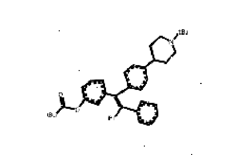 CC(C)/C(=C(/c1ccc(C2CCN(C(C)(C)C)CC2)cc1)c1cccc(OC(=O)C(C)(C)C)c1)c1ccccc1